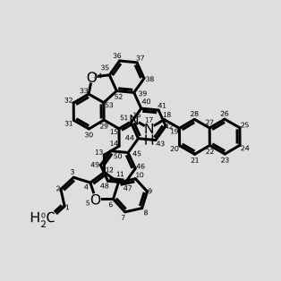 C=C/C=C\c1oc2ccccc2c1CC/C(=N\NCc1ccc2ccccc2c1)c1cccc2oc3cccc(-c4cccc(-c5ccccc5)c4)c3c12